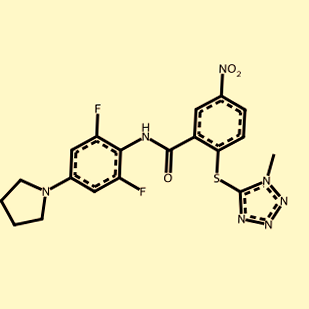 Cn1nnnc1Sc1ccc([N+](=O)[O-])cc1C(=O)Nc1c(F)cc(N2CCCC2)cc1F